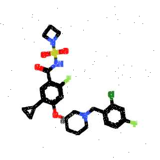 O=C(NS(=O)(=O)N1CCC1)c1cc(C2CC2)c(O[C@H]2CCCN(Cc3ccc(F)cc3Cl)C2)cc1F